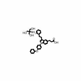 NC(CO)(CO)CO.O=C(O)CCc1ccc2c(c1)c(CCc1ccccc1)cn2-c1ccc(Oc2ccccc2)cc1